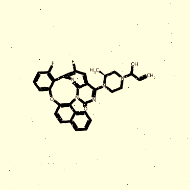 C=CC(O)N1CCN(c2nc(=O)n3c4nc(c(F)cc24)c2c(F)cccc2oc2ccc4ccccc4c23)[C@@H](C)C1